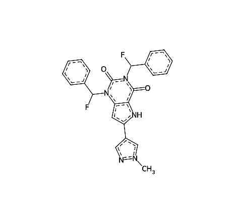 Cn1cc(-c2cc3c([nH]2)c(=O)n(C(F)c2ccccc2)c(=O)n3C(F)c2ccccc2)cn1